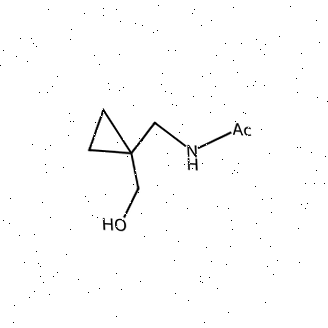 CC(=O)NCC1(CO)CC1